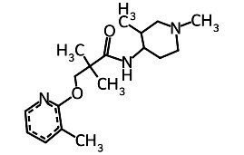 Cc1cccnc1OCC(C)(C)C(=O)NC1CCN(C)CC1C